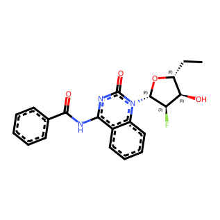 CC[C@H]1O[C@@H](n2c(=O)nc(NC(=O)c3ccccc3)c3ccccc32)[C@H](F)[C@@H]1O